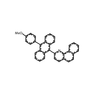 COc1ccc(-c2c3ccccc3c(-c3ccc4ccc5ccccc5c4n3)c3ccccc23)cc1